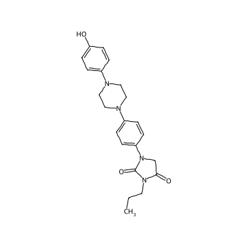 CCCN1C(=O)CN(c2ccc(N3CCN(c4ccc(O)cc4)CC3)cc2)C1=O